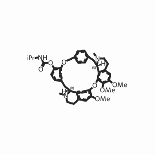 COc1cc2c3cc1Oc1c(OC)c(OC)cc4c1[C@H](Cc1ccc(cc1)Oc1cc(ccc1OC(=O)NC(C)C)C[C@H]3N(C)CC2)N(C)CC4